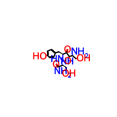 NC(=O)[C@H](CO)NN[C@@H](Cc1ccc(O)cc1)C(=O)C(=O)[C@@H](N)CO